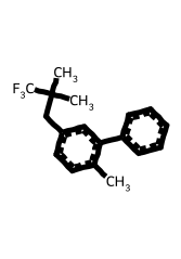 Cc1ccc(CC(C)(C)C(F)(F)F)cc1-c1ccccc1